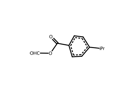 CC(C)c1ccc(C(=O)O[C]=O)cc1